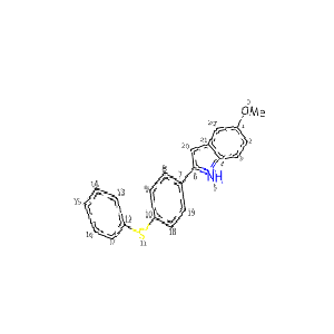 COc1ccc2[nH]c(-c3ccc(Sc4ccccc4)cc3)cc2c1